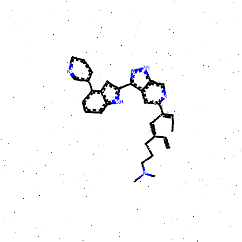 C=C/C(=C\C(=C/C)c1cc2c(-c3cc4c(-c5cccnc5)cccc4[nH]3)n[nH]c2cn1)CCCN(C)C